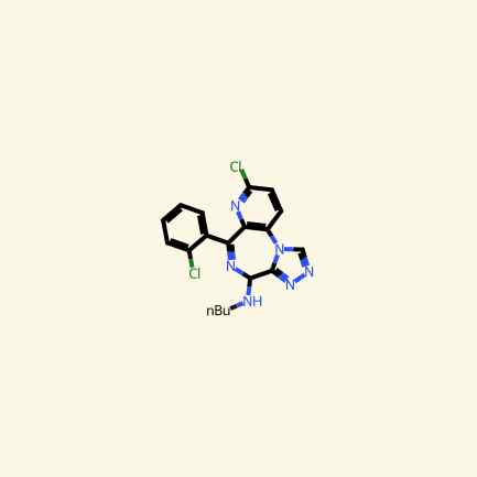 CCCCNC1N=C(c2ccccc2Cl)c2nc(Cl)ccc2-n2cnnc21